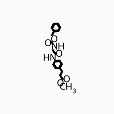 COC(=O)CCc1ccc(NC(=O)CNC(=O)OCc2ccccc2)cc1